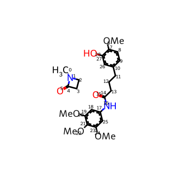 CN1CCC1=O.COc1ccc(CCCC(=O)Nc2cc(OC)c(OC)c(OC)c2)cc1O